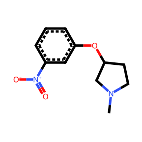 CN1CCC(Oc2cccc([N+](=O)[O-])c2)C1